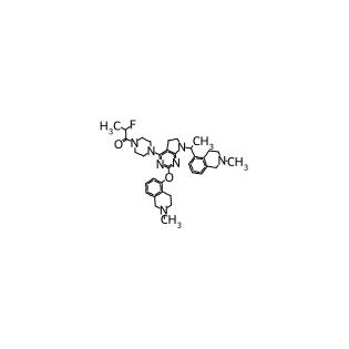 CC(F)C(=O)N1CCN(c2nc(Oc3cccc4c3CCN(C)C4)nc3c2CCN3C(C)c2cccc3c2CCN(C)C3)CC1